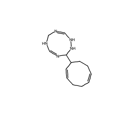 C1=CCCC(C2N=CNCN=CNN2)C=CCC1